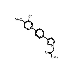 CCc1cc(-c2ccc(-c3ccn(CC(=O)OC)n3)cc2)ccc1OC